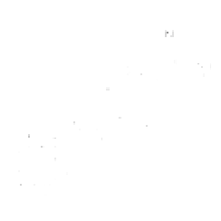 Cl.N=C(N)c1ccc(C=Cc2ccccc2)cc1